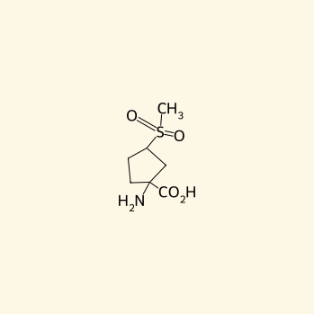 CS(=O)(=O)C1CCC(N)(C(=O)O)C1